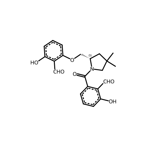 CC1(C)C[C@@H](COc2cccc(O)c2C=O)N(C(=O)c2cccc(O)c2C=O)C1